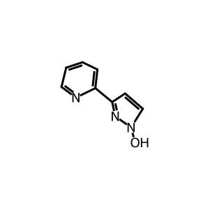 On1ccc(-c2ccccn2)n1